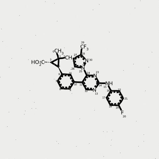 CC1(C)[C@@H](C(=O)O)[C@@H]1c1cccc(-c2cnc(Nc3ccc(F)cc3)nc2-n2ccc(C(F)(F)F)n2)c1